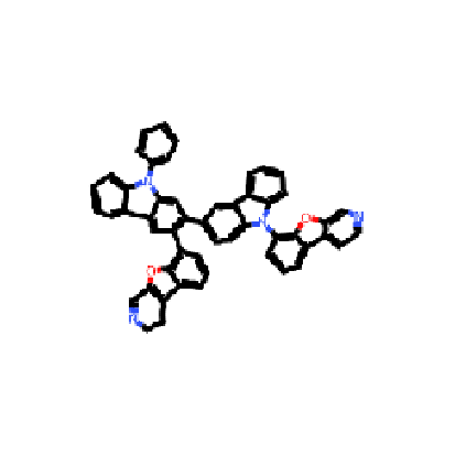 C1=NCCc2c1oc1c(-c3cc4c5ccccc5n(-c5ccccc5)c4cc3-c3ccc4c(c3)c3ccccc3n4-c3cccc4c3oc3cnccc34)cccc21